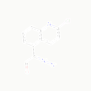 [N-]=[N+]=C(C=O)c1cccc2nc(Cl)ccc12